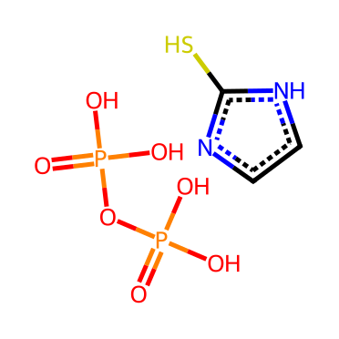 O=P(O)(O)OP(=O)(O)O.Sc1ncc[nH]1